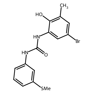 CSc1cccc(NC(=O)Nc2cc(Br)cc(C)c2O)c1